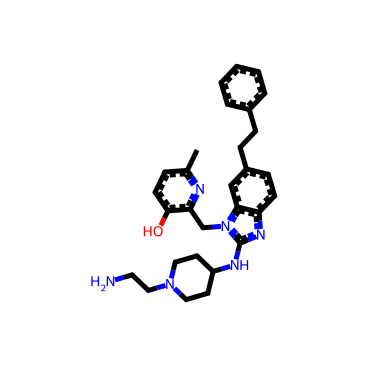 Cc1ccc(O)c(Cn2c(NC3CCN(CCN)CC3)nc3ccc(CCc4ccccc4)cc32)n1